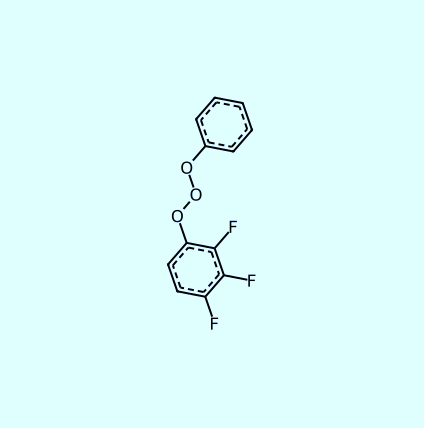 Fc1ccc(OOOc2ccccc2)c(F)c1F